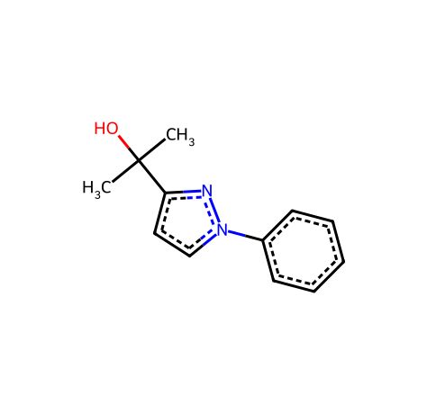 CC(C)(O)c1ccn(-c2ccccc2)n1